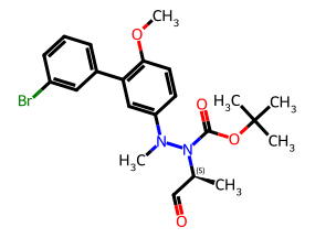 COc1ccc(N(C)N(C(=O)OC(C)(C)C)[C@@H](C)C=O)cc1-c1cccc(Br)c1